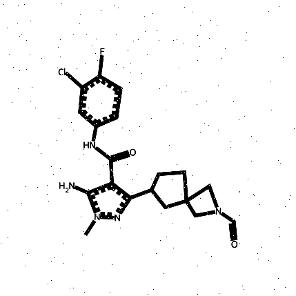 Cn1nc(C2CCC3(C2)CN(C=O)C3)c(C(=O)Nc2ccc(F)c(Cl)c2)c1N